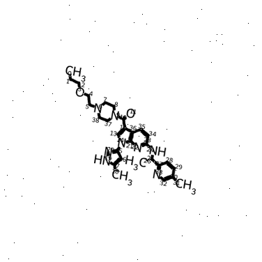 CCCOCCN1CCN(C(=O)c2cn(-c3cc(C)[nH]n3)c3nc(N[C@@H](C)c4ccc(C)cn4)ccc23)CC1